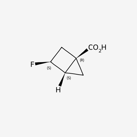 O=C(O)[C@@]12C[C@@H]1[C@@H](F)C2